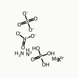 N.N.O=P(O)(O)O.O=S(=O)([O-])[O-].O=[N+]([O-])[O-].[K+].[Mg+2]